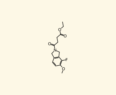 CCOC(=O)CCC(=O)N1Cc2ccc(OC)c(F)c2C1